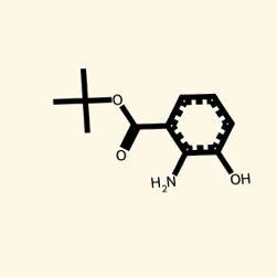 CC(C)(C)OC(=O)c1cccc(O)c1N